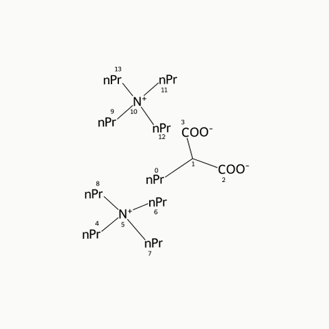 CCCC(C(=O)[O-])C(=O)[O-].CCC[N+](CCC)(CCC)CCC.CCC[N+](CCC)(CCC)CCC